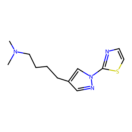 CN(C)CCCCc1cnn(-c2nccs2)c1